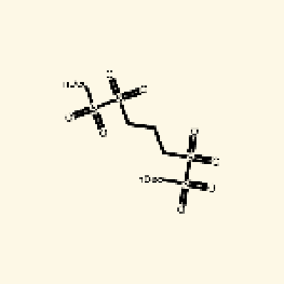 CCCCCCCCCCS(=O)(=O)S(=O)(=O)CCCS(=O)(=O)S(=O)(=O)CCCCCCCCCC